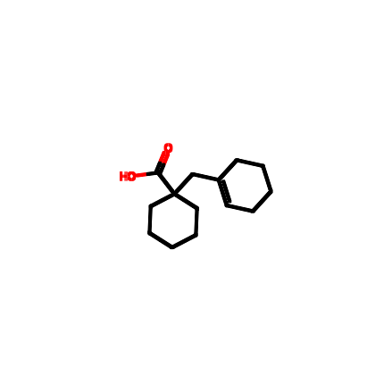 O=C(O)C1(CC2=CCCCC2)CCCCC1